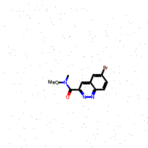 CON(C)C(=O)c1cc2cc(Br)ccc2nn1